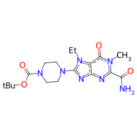 CCn1c(N2CCN(C(=O)OC(C)(C)C)CC2)nc2nc(C(N)=O)n(C)c(=O)c21